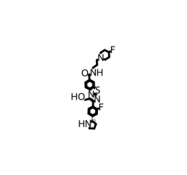 O=C(NCCCN1CCC(F)CC1)c1ccc2c(c1)sc1nc(-c3ccc([C@@H]4CCCN4)cc3F)c(CO)n12